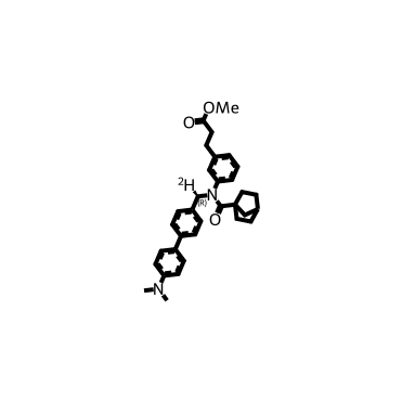 [2H][C@H](c1ccc(-c2ccc(N(C)C)cc2)cc1)N(C(=O)C12CCC(CC1)C2)c1cccc(CCC(=O)OC)c1